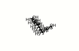 OC(=S)CCS.OC(=S)CCS.OC(=S)CCS.OC(=S)CCS.OC(=S)CCS.OC(=S)CCS.OCC(CO)(CO)CO.OCC(CO)(CO)CO